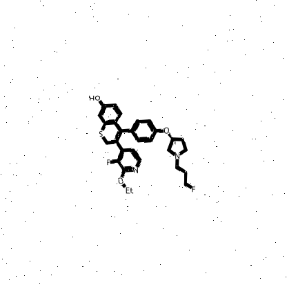 CCOc1nccc(C2=C(c3ccc(O[C@H]4CCN(CCCF)C4)cc3)c3ccc(O)cc3SC2)c1F